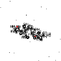 CCCC[C@@H](C(=O)N1CCC[C@@H]1C(=O)N[C@H](C=O)CC(=O)O)N(C)C(=O)[C@H](Cc1ccccc1)N(C)C(=O)[C@H](Cc1ccc(F)cc1)NC(=O)CSC[C@H](NC(=O)[C@H](CC(C)C)NC(=O)[C@H](Cc1ccc(O)cc1)NC(=O)[C@H](Cc1c[nH]c2ccccc12)NC(=O)[C@H]1CCCN1C(=O)[C@H](CCC(N)=O)NCC(=O)[C@H](C(C)CC)N(C)C(=O)[C@@H](N)C(C)C)C(=O)NCC(N)=O